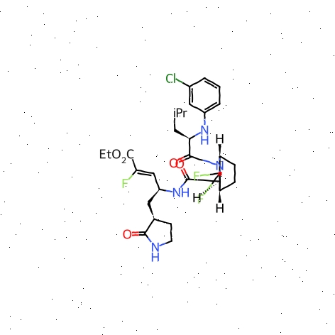 CCOC(=O)/C(F)=C/[C@H](C[C@H]1CCNC1=O)NC(=O)[C@@H]1[C@H]2CC[C@H](CC2(F)F)N1C(=O)[C@@H](CC(C)C)Nc1cccc(Cl)c1